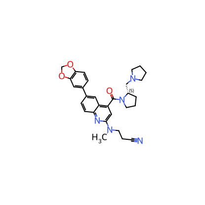 CN(CCC#N)c1cc(C(=O)N2CCC[C@H]2CN2CCCC2)c2cc(-c3ccc4c(c3)OCO4)ccc2n1